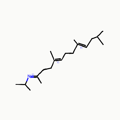 C/C(=C\CC(C)C)CC/C=C(\C)CC/C(C)=N/C(C)C